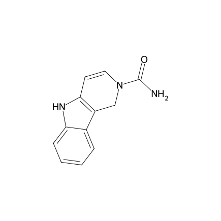 NC(=O)N1C=Cc2[nH]c3ccccc3c2C1